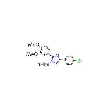 CCCCCCn1cc(-c2ccc(Br)cc2)nc1-c1ccc(OC)c(OC)c1